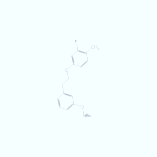 CCCCOc1cccc(CCOc2ccc(C)c(F)c2)c1